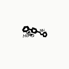 NC(Cc1ccccc1)c1ccc(-c2ccccc2)c(S(=O)(=O)O)c1